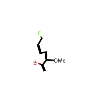 C=C(Br)/C(=C\C=C/CF)OC